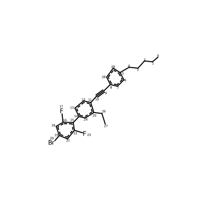 CCCCCc1ccc(C#Cc2ccc(-c3c(F)cc(Br)cc3F)cc2CC)cc1